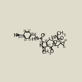 CNS(=O)(=O)C1(CN2CCc3c(C(=O)NCc4ccc(C#N)cc4)nn(C)c3C2=O)CC1